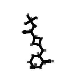 CC(C)(C)OC(=O)N1CC(CN2CCNCC2=O)C1